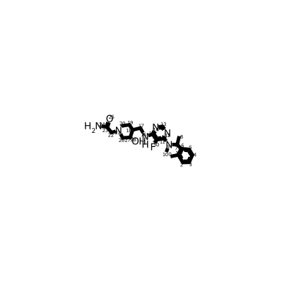 Cc1ccccc1C(C)N(C)c1ncnc(NCC2CCN(CC(N)=O)CC2O)c1F